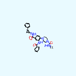 CCNC(=O)N1CCCN(c2ccc(C(=O)N[C@@H]3C[C@H]3c3ccccc3)cc2NC(=O)c2ccccc2)CC1